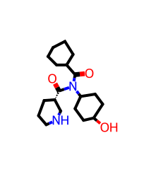 O=C(C1CCCCC1)N(C(=O)[C@H]1CCCNC1)C1CCC(O)CC1